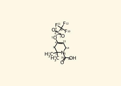 CC1(C)CC(OS(=O)(=O)C(F)(F)F)=CCN1C(=O)O